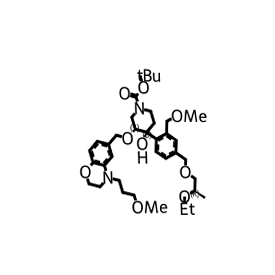 CCO[C@H](C)COCc1ccc([C@@]2(O)CCN(C(=O)OC(C)(C)C)C[C@@H]2OCc2ccc3c(c2)N(CCCOC)CCO3)c(COC)c1